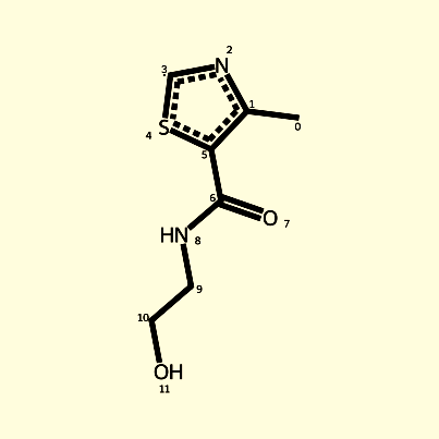 Cc1n[c]sc1C(=O)NCCO